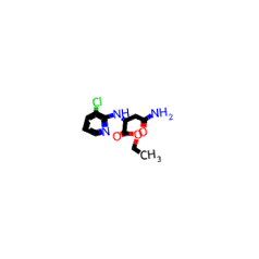 CCOC(=O)C(CC(N)=O)Nc1ncccc1Cl